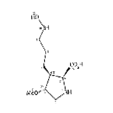 CO[C@H]1CN[C@H](C(=O)O)[C@@H]1CCCBO